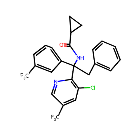 O=C(NC(Cc1ccccc1)(c1cccc(C(F)(F)F)c1)c1ncc(C(F)(F)F)cc1Cl)C1CC1